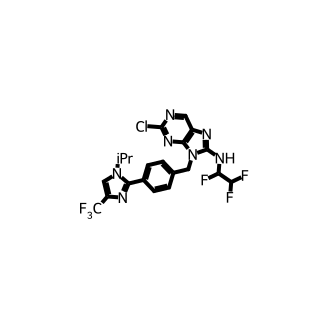 CC(C)n1cc(C(F)(F)F)nc1-c1ccc(Cn2c(NC(F)C(F)F)nc3cnc(Cl)nc32)cc1